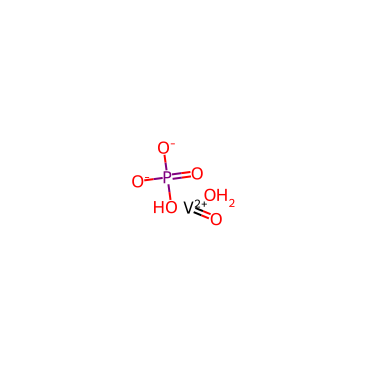 O.O=P([O-])([O-])O.[O]=[V+2]